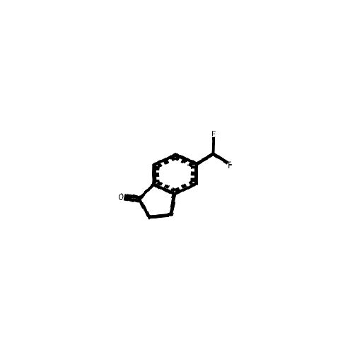 O=C1CCc2cc(C(F)F)ccc21